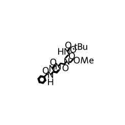 COC(=O)CN(CCNC(=O)OC(C)(C)C)C(=O)Cn1ccc(NC(=O)c2ccccc2)nc1=O